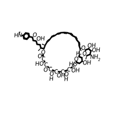 CNc1ccc(C(=O)CC(O)CC[C@H](C)[C@H]2OC(=O)C[C@H](O)CC(=O)C[C@H](O)C[C@H](O)C[C@H](O)C[C@H](O)C[C@]3(O)C[C@H](O)[C@@H](C)[C@H](C[C@@H](O[C@@H]4O[C@H](C)[C@@H](N)[C@H](O)[C@@H]4O)/C=C/C=C/C=C/C=C\C=C/C=C/C=C/[C@@H]2C)O3)cc1